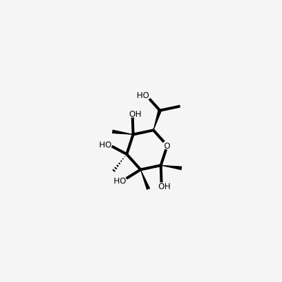 CC(O)[C@H]1O[C@](C)(O)[C@](C)(O)[C@@](C)(O)[C@]1(C)O